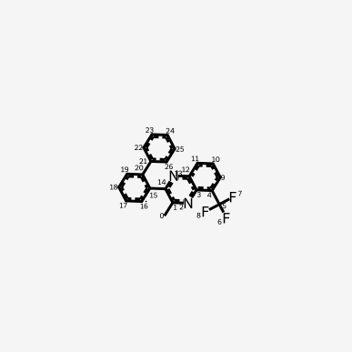 Cc1nc2c(C(F)(F)F)cccc2nc1-c1[c]cccc1-c1ccccc1